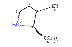 CCC1CCN[C@@H]1C(=O)O